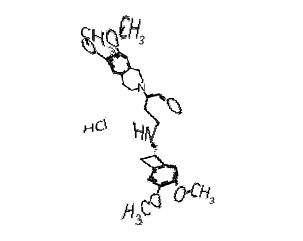 COc1cc2c(cc1OC)CCN(C(C=O)CCNC[C@H]1Cc3cc(OC)c(OC)cc31)CC2.Cl